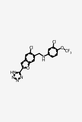 FC(F)(F)Oc1ccc(NCc2cc3oc(-c4nnn[nH]4)cc3cc2Cl)cc1Cl